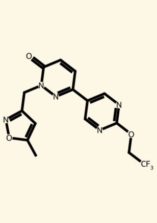 Cc1cc(Cn2nc(-c3cnc(OCC(F)(F)F)nc3)ccc2=O)no1